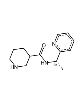 C[C@H](NC(=O)C1CCCNC1)c1ccccn1